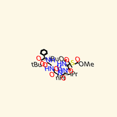 CCCC(NC(=O)[C@H](CC(C)C)NC(=O)[C@@H](NC(=O)OCC(C)C)C(C)(C)SCC(=O)OC)C(=O)C(=O)NCC(=O)N[C@H](C(=O)OC(C)(C)C)c1ccccc1